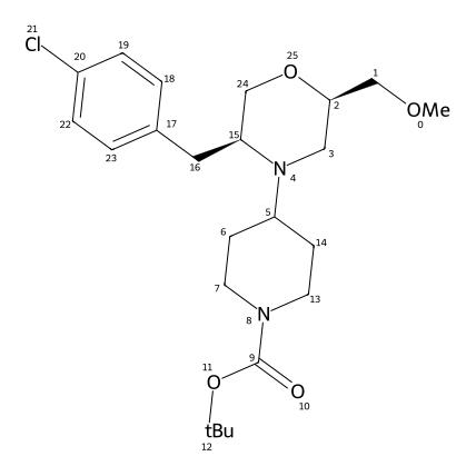 COC[C@H]1CN(C2CCN(C(=O)OC(C)(C)C)CC2)[C@@H](Cc2ccc(Cl)cc2)CO1